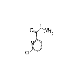 CC(N)C(=O)c1cccc(Cl)n1